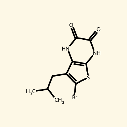 CC(C)Cc1c(Br)sc2[nH]c(=O)c(=O)[nH]c12